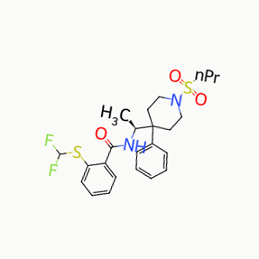 CCCS(=O)(=O)N1CCC(c2ccccc2)([C@H](C)NC(=O)c2ccccc2SC(F)F)CC1